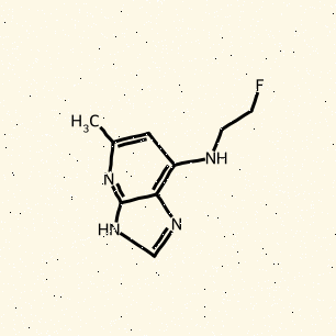 Cc1cc(NCCF)c2nc[nH]c2n1